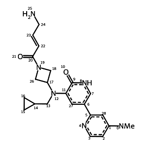 CNc1ccnc(-c2c[nH]c(=O)c(N(CC3CC3)C3CN(C(=O)C=CCN)C3)c2)c1